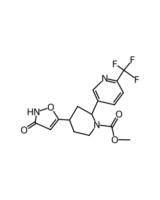 COC(=O)N1CCC(c2cc(=O)[nH]o2)CC1c1ccc(C(F)(F)F)nc1